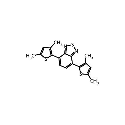 Cc1cc(C)c(-c2ccc(-c3sc(C)cc3C)c3nsnc23)s1